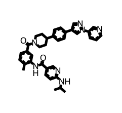 Cc1ccc(C(=O)N2CCC(c3ccc(-c4cnn(-c5cccnc5)c4)cc3)CC2)cc1NC(=O)c1ccc(NC(C)C)nc1